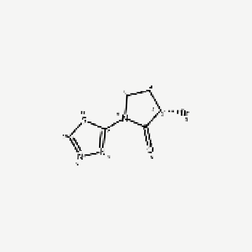 O=C1[C@@H](Br)CCN1c1nncs1